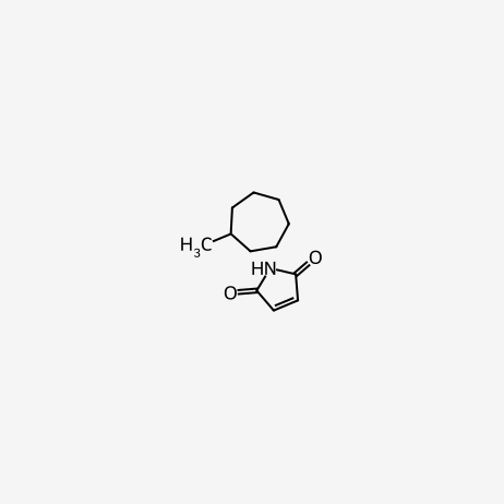 CC1CCCCCC1.O=C1C=CC(=O)N1